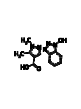 Cc1c(C(=O)O)cnn1C.On1nnc2ccccc21